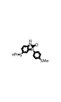 CCCSc1ccc2[nH]c(=O)n(-c3ccc(SC)cc3)c2c1